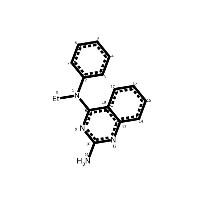 CCN(c1ccccc1)c1nc(N)nc2ccccc12